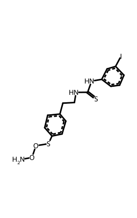 NOOSc1ccc(CCNC(=S)Nc2cccc(I)c2)cc1